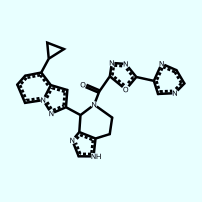 O=C(c1nnc(-c2cnccn2)o1)N1CCc2[nH]cnc2C1c1cc2c(C3CC3)cccn2n1